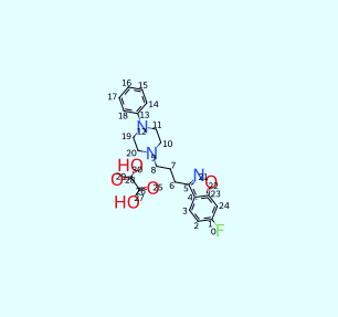 Fc1ccc2c(CCCN3CCN(c4ccccc4)CC3)noc2c1.O=C(O)C(=O)O